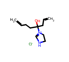 C=CCCC(O)(CC=C)[N+]1=CNCC1.[Cl-]